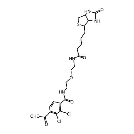 O=CC(=O)c1ccc(C(=O)NCCOCCNC(=O)CCCCC2SCC3NC(=O)NC32)c(Cl)c1Cl